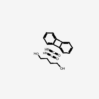 N=C=O.N=C=O.OCCCCO.c1ccc2c(c1)-c1ccccc1-2